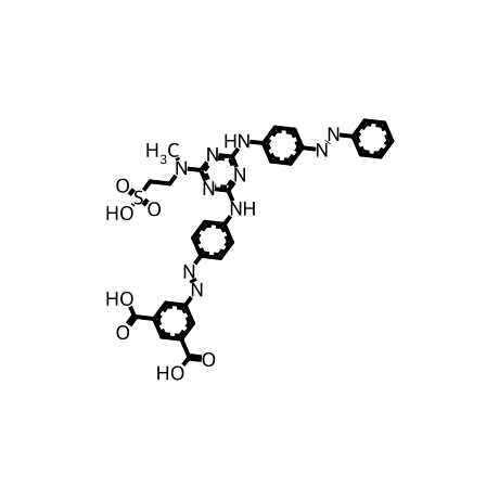 CN(CCS(=O)(=O)O)c1nc(Nc2ccc(/N=N/c3ccccc3)cc2)nc(Nc2ccc(/N=N/c3cc(C(=O)O)cc(C(=O)O)c3)cc2)n1